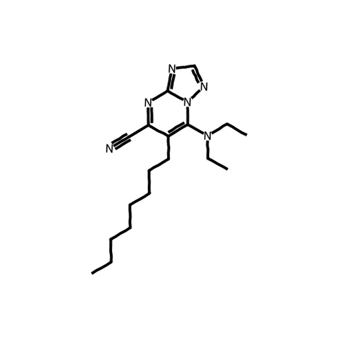 CCCCCCCCc1c(C#N)nc2ncnn2c1N(CC)CC